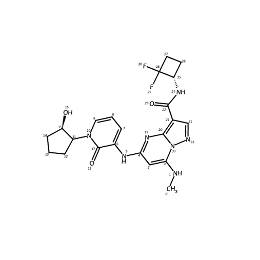 CNc1cc(Nc2cccn(C3CCC[C@H]3O)c2=O)nc2c(C(=O)N[C@H]3CCC3(F)F)cnn12